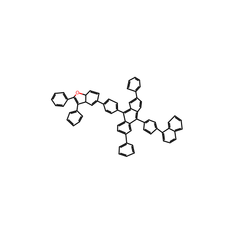 C1=CC2OC(c3ccccc3)=C(c3ccccc3)C2C=C1c1ccc(-c2c3ccc(-c4ccccc4)cc3c(-c3ccc(-c4cccc5ccccc45)cc3)c3ccc(-c4ccccc4)cc23)cc1